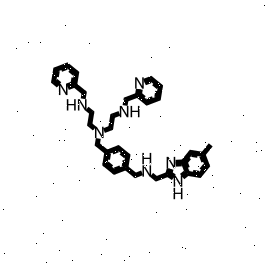 Cc1ccc2[nH]c(CNCc3ccc(CN(CCNCc4ccccn4)CCNCc4ccccn4)cc3)nc2c1